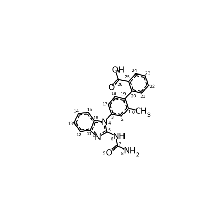 Cc1cc(-n2c(NC(N)=O)nc3ccccc32)ccc1-c1ccccc1C(=O)O